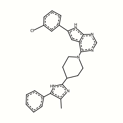 Cc1nc(C2CCN(c3ncnc4[nH]c(-c5cccc(Cl)c5)cc34)CC2)[nH]c1-c1ccccc1